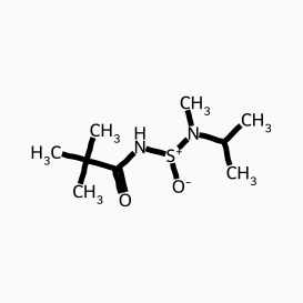 CC(C)N(C)[S+]([O-])NC(=O)C(C)(C)C